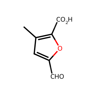 Cc1cc(C=O)oc1C(=O)O